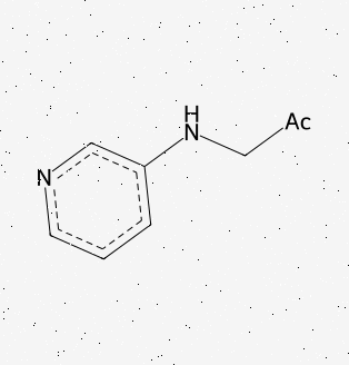 CC(=O)CNc1cccnc1